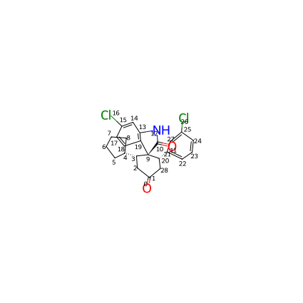 O=C1C[C@H](C2CCCC2)[C@@]2(C(=O)Nc3cc(Cl)ccc32)[C@H](c2cccc(Cl)c2)C1